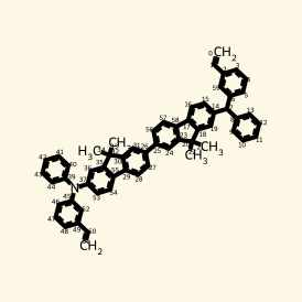 C=Cc1cccc(C(c2ccccc2)c2ccc3c(c2)C(C)(C)c2cc(-c4ccc5c(c4)C(C)(C)c4cc(N(c6ccccc6)c6cccc(C=C)c6)ccc4-5)ccc2-3)c1